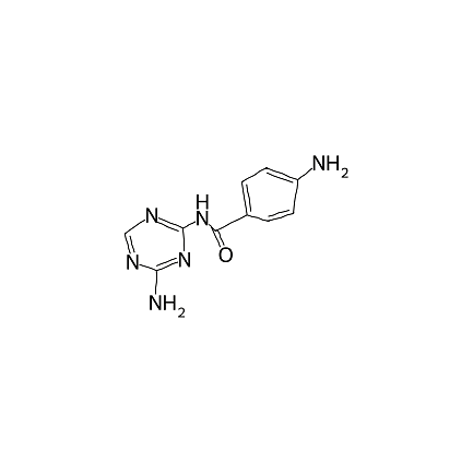 Nc1ccc(C(=O)Nc2ncnc(N)n2)cc1